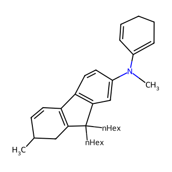 CCCCCCC1(CCCCCC)C2=C(C=CC(C)C2)c2ccc(N(C)C3=CCCC=C3)cc21